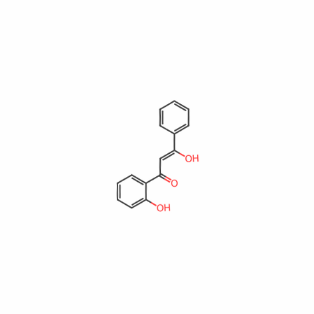 O=C(C=C(O)c1ccccc1)c1ccccc1O